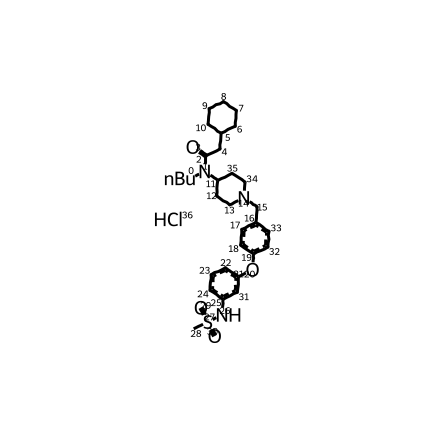 CCCCN(C(=O)CC1CCCCC1)C1CCN(Cc2ccc(Oc3cccc(NS(C)(=O)=O)c3)cc2)CC1.Cl